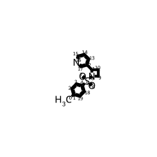 Cc1ccc(S(=O)(=O)N2CCC2c2cccnc2)cc1